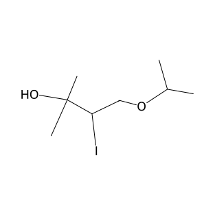 CC(C)OCC(I)C(C)(C)O